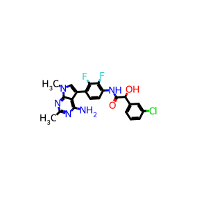 Cc1nc(N)c2c(-c3ccc(NC(=O)C(O)c4cccc(Cl)c4)c(F)c3F)cn(C)c2n1